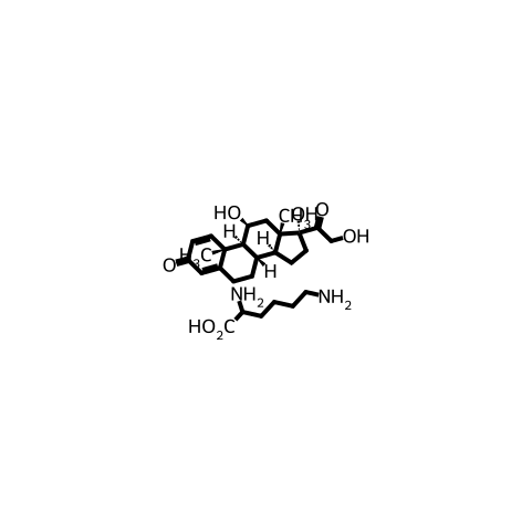 C[C@]12C=CC(=O)C=C1CC[C@@H]1[C@@H]2[C@@H](O)C[C@@]2(C)[C@H]1CC[C@]2(O)C(=O)CO.NCCCCC(N)C(=O)O